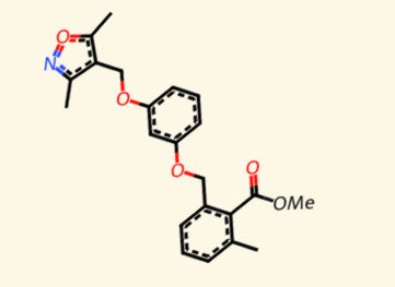 COC(=O)c1c(C)cccc1COc1cccc(OCc2c(C)noc2C)c1